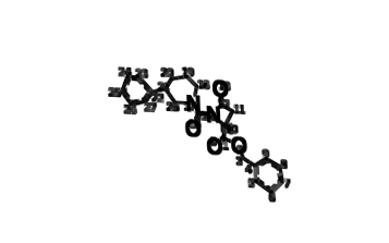 O=C(OCc1ccccc1)[C@@H]1CC(=O)N1C(=O)N1CCCC(c2ccccc2)C1